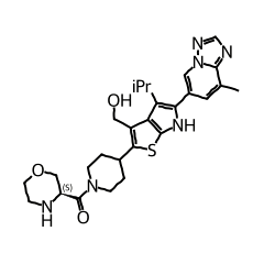 Cc1cc(-c2[nH]c3sc(C4CCN(C(=O)[C@@H]5COCCN5)CC4)c(CO)c3c2C(C)C)cn2ncnc12